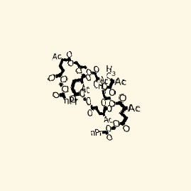 CCCC(=O)OCOC(=O)CCC(C(C)=O)C(=O)OCC(COC(=O)C(C)C(C)=O)OC(=O)C(CCC(=O)OCOC(=O)CCC(C(C)=O)C(=O)OC(COC(=O)C(C)C(C)=O)COC(=O)C(CCC(=O)OCOC(=O)CCC)C(C)=O)C(C)=O